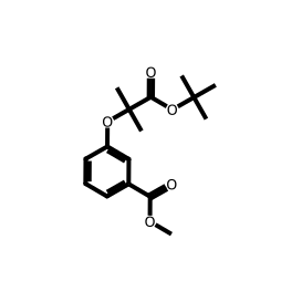 COC(=O)c1cccc(OC(C)(C)C(=O)OC(C)(C)C)c1